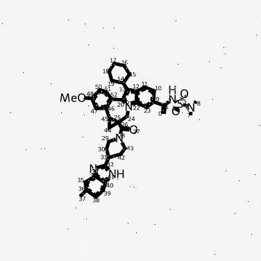 C=C(NS(=O)(=O)N(C)C)c1ccc2c(C3CCCCC3)c3n(c2c1)CC1(C(=O)N2CCC(c4nc5cc(C)ccc5[nH]4)CC2)CC1c1cc(OC)ccc1-3